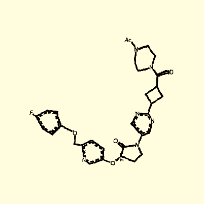 CC(=O)N1CCN(C(=O)C2CC(c3ncc(N4CC[C@@H](Oc5ccc(COc6ccc(F)cc6)nc5)C4=O)cn3)C2)CC1